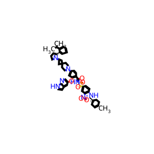 CC1=CC[C@@H](CNc2ccc(S(=O)(=O)NC(=O)c3ccc(N4CCC5(CC4)CC(N4CCC[C@H]4c4ccccc4C(C)C)C5)cc3Oc3cnc4[nH]ccc4c3)cc2[N+](=O)[O-])CC1